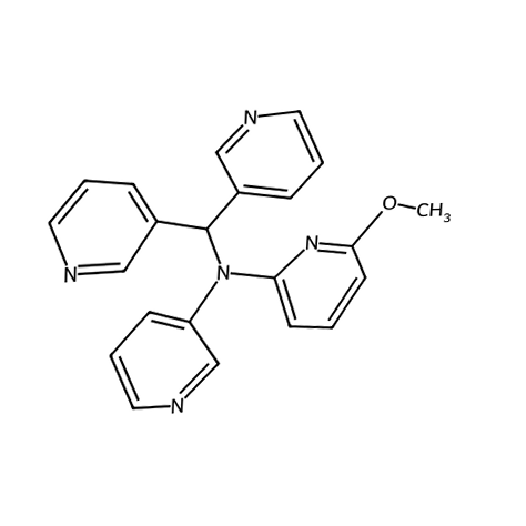 COc1cccc(N(c2cccnc2)C(c2cccnc2)c2cccnc2)n1